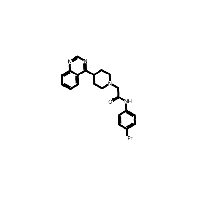 CC(C)c1ccc(NC(=O)CN2CCC(c3ncnc4ccccc34)CC2)cc1